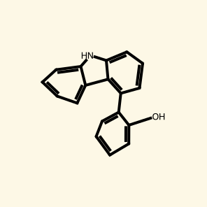 Oc1ccccc1-c1cccc2[nH]c3ccccc3c12